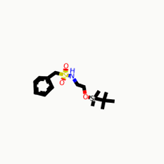 CC(C)(C)[Si](C)(C)OCCNS(=O)(=O)Cc1ccccc1